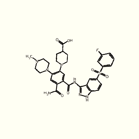 CN1CCN(c2cc(C(N)=O)c(C(=O)Nc3n[nH]c4ccc(S(=O)(=O)c5cccc(F)c5)cc34)cc2N2CCC(C(=O)O)CC2)CC1